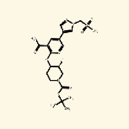 CC(C)(C)OC(=O)N1CCC(Oc2ncc(-c3cnn(CS(C)(=O)=O)c3)cc2C(N)=O)[C@@H](F)C1